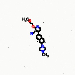 COCCOc1nccc(-c2ccc3cc(N4CCN(C)CC4)ccc3c2)c1C#N